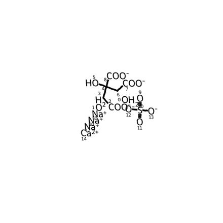 O.O.O=C([O-])CC(O)(CC(=O)[O-])C(=O)[O-].O=S(=O)([O-])[O-].[Ca+2].[Na+].[Na+].[Na+]